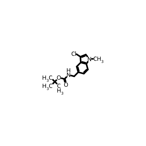 Cn1cc(Cl)c2cc(CNC(=O)OC(C)(C)C)ccc21